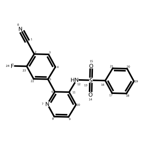 N#Cc1ccc(-c2ncccc2NS(=O)(=O)c2ccccc2)cc1F